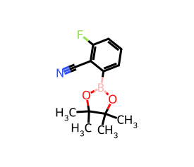 CC1(C)OB(c2cccc(F)c2C#N)OC1(C)C